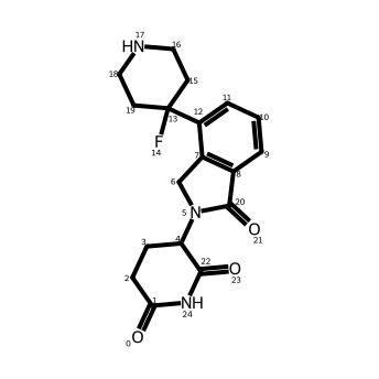 O=C1CCC(N2Cc3c(cccc3C3(F)CCNCC3)C2=O)C(=O)N1